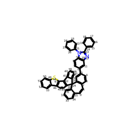 C1=Cc2ccc(-c3ccc4c(c3)nc(-c3ccccc3)n4-c3ccccc3)cc2C2(c3ccccc31)c1ccccc1-c1c2ccc2c1sc1ccccc12